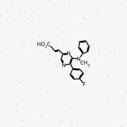 CN(c1ccccc1)c1nc(/C=C/C(=O)O)cnc1-c1ccc(F)cc1